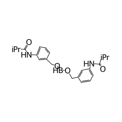 CC(C)C(=O)Nc1cccc(COBOCc2cccc(NC(=O)C(C)C)c2)c1